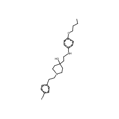 CCCCOc1ccc(NCCC2(O)CCN(CCc3ccc(F)cc3)CC2)cc1